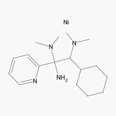 CN(C)C(C1CCCCC1)C(N)(c1ccccn1)N(C)C.[Ni]